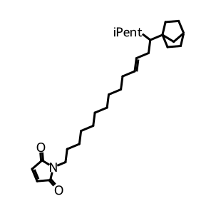 CCCC(C)C(CC=CCCCCCCCCCCN1C(=O)C=CC1=O)C12CCC(CC1)C2